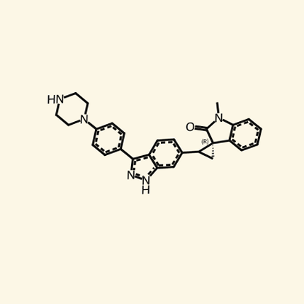 CN1C(=O)[C@@]2(CC2c2ccc3c(-c4ccc(N5CCNCC5)cc4)n[nH]c3c2)c2ccccc21